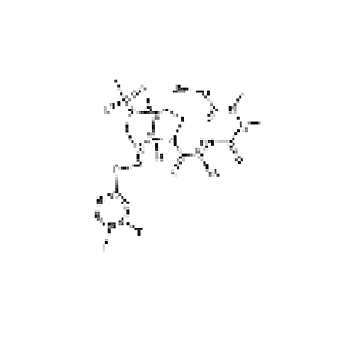 C[C@@H](C(=O)N[C@H](C(=O)N1CC[C@@H]2[C@H]1[C@@H](COc1ccc(F)c(F)c1)CN2S(C)(=O)=O)C(C)(C)C)N(C)C(=O)OC(C)(C)C